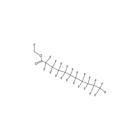 O=C(OCF)C(F)(F)C(F)(F)C(F)(F)C(F)(F)C(F)(F)C(F)(F)C(F)(F)C(F)(F)C(F)(F)C(F)(F)F